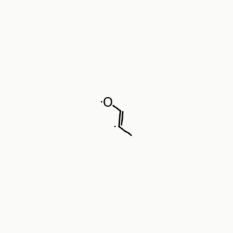 C/[C]=C/[O]